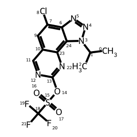 CC(C)n1nnc2c(Cl)cc3cnc(OS(=O)(=O)C(F)(F)F)nc3c21